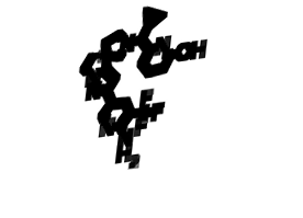 Nc1ncc(-c2cc3n(n2)CC[C@@]32CCN(C(c3cccc(O)n3)C3CC3)C2)cc1C(F)(F)F